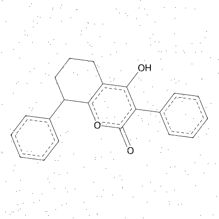 O=c1oc2c(c(O)c1-c1ccccc1)CCCC2c1ccccc1